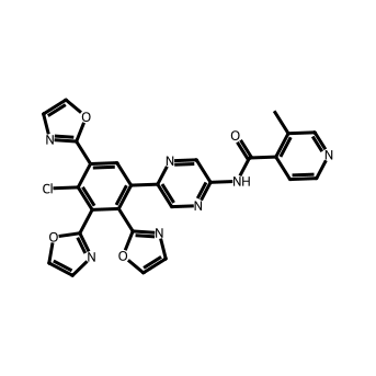 Cc1cnccc1C(=O)Nc1cnc(-c2cc(-c3ncco3)c(Cl)c(-c3ncco3)c2-c2ncco2)cn1